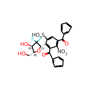 O=C(c1ccccc1)c1cc(S(=O)(=O)O)c([C@@H]2O[C@H](CO)[C@@H](O)C2(F)F)c(C(=O)c2ccccc2)c1[N+](=O)[O-]